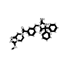 COc1nnc2n1CCN(C(=O)c1cccc(CN3C(=N)NC(c4ccccc4)(c4ccccc4)C3=O)c1)C2